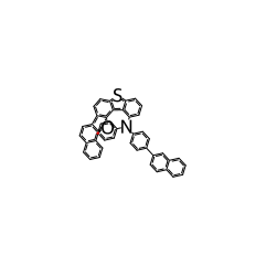 c1ccc(N(c2ccc(-c3ccc4ccccc4c3)cc2)c2cccc3sc4ccc5c6ccc7ccccc7c6oc5c4c23)cc1